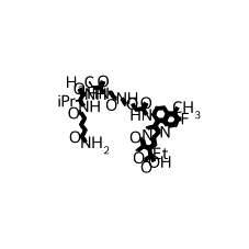 CC[C@@]1(O)C(=O)OCc2c1cc1n(c2=O)Cc2c-1nc1cc(F)c(C)c3c1c2[C@@H](NC(=O)COCNC(=O)CNC(=O)[C@H](C)NC(=O)[C@@H](NC(=O)CCCC(N)=O)C(C)C)CC3